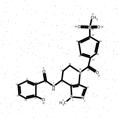 Cn1ncc2c1C(NC(=O)c1ccccc1Cl)CCN2C(=O)c1ccc(S(C)(=O)=O)cc1